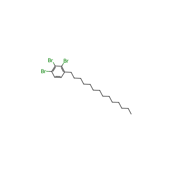 CCCCCCCCCCCCCCc1ccc(Br)c(Br)c1Br